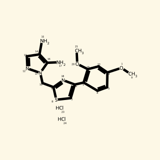 COc1ccc(-c2csc(Cn3ncc(N)c3N)n2)c(OC)c1.Cl.Cl